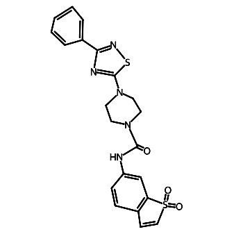 O=C(Nc1ccc2c(c1)S(=O)(=O)C=C2)N1CCN(c2nc(-c3ccccc3)ns2)CC1